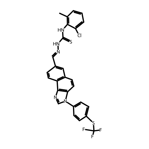 Cc1cccc(Cl)c1NC(=S)NN=Cc1ccc2c(ccc3c2ncn3-c2ccc(SC(F)(F)F)cc2)c1